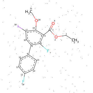 CCOC(=O)c1c(F)c(-c2ccc(F)cc2)cc(I)c1OC